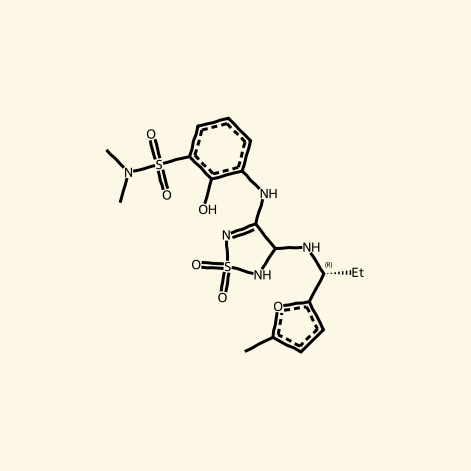 CC[C@@H](NC1NS(=O)(=O)N=C1Nc1cccc(S(=O)(=O)N(C)C)c1O)c1ccc(C)o1